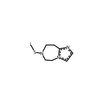 ISN1CCc2nccn2CC1